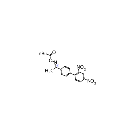 CCCCC(=O)O/N=C(\C)c1ccc(-c2ccc([N+](=O)[O-])cc2[N+](=O)[O-])cc1